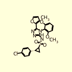 COc1cccc(OC)c1-n1c(NS(=O)(=O)C2C[C@@H]2c2ccc(Cl)cc2)nnc1-c1ccco1